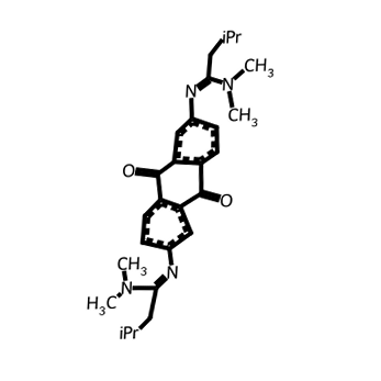 CC(C)CC(=Nc1ccc2c(c1)C(=O)c1ccc(N=C(CC(C)C)N(C)C)cc1C2=O)N(C)C